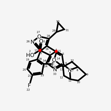 O=C(O)c1ccc(N2C3CCC2CC(OCc2c(-c4ccc(F)cc4F)noc2C2CC2)C3)nc1